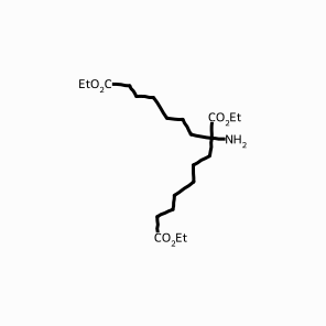 CCOC(=O)CCCCCCC(N)(CCCCCCC(=O)OCC)C(=O)OCC